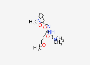 CCC(=O)CCCCC[C@H](NC(=O)CCN(C)C)c1ncc(-c2cc3ccccc3n(C)c2=O)o1